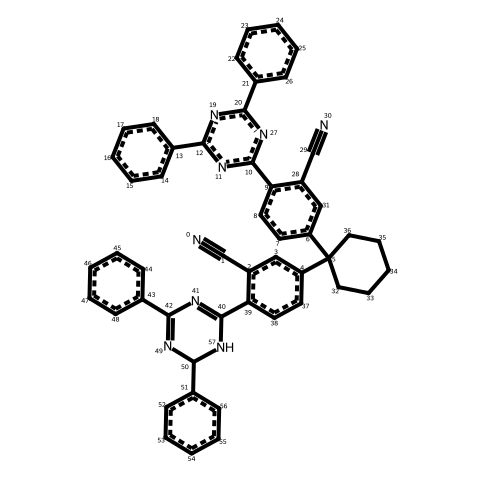 N#Cc1cc(C2(c3ccc(-c4nc(-c5ccccc5)nc(-c5ccccc5)n4)c(C#N)c3)CCCCC2)ccc1C1=NC(c2ccccc2)=NC(c2ccccc2)N1